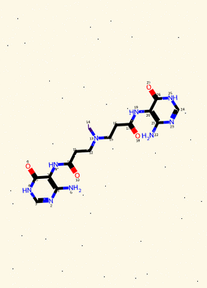 Nc1nc[nH]c(=O)c1NC(=O)CCN(I)CCC(=O)Nc1c(N)nc[nH]c1=O